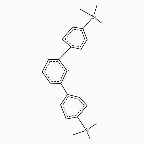 C[Si](C)(C)c1ccc(-c2[c]c(-c3ccc([Si](C)(C)C)cc3)ccc2)cc1